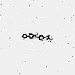 CN(C)C1CCN(c2ccc(NC(=O)c3ccc(C4CCCCC4)cc3)cn2)C1